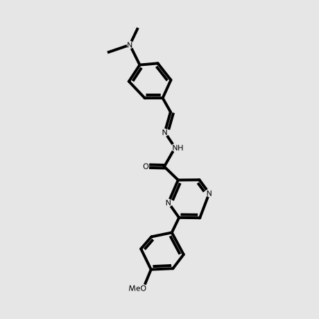 COc1ccc(-c2cncc(C(=O)N/N=C/c3ccc(N(C)C)cc3)n2)cc1